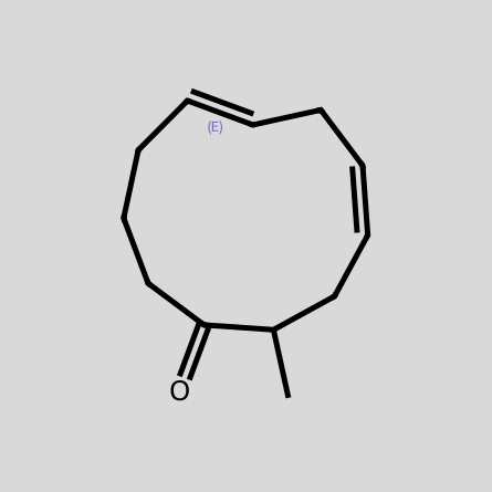 CC1CC=CC/C=C/CCCC1=O